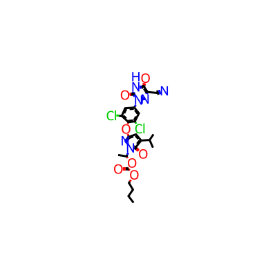 CCCCOC(=O)OC(C)n1nc(Oc2c(Cl)cc(-n3nc(C#N)c(=O)[nH]c3=O)cc2Cl)cc(C(C)C)c1=O